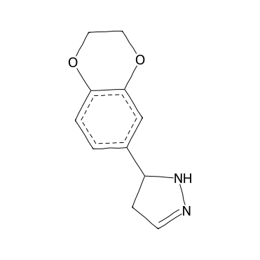 C1=NNC(c2ccc3c(c2)OCCO3)C1